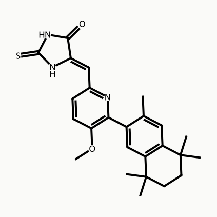 COc1ccc(/C=C2\NC(=S)NC2=O)nc1-c1cc2c(cc1C)C(C)(C)CCC2(C)C